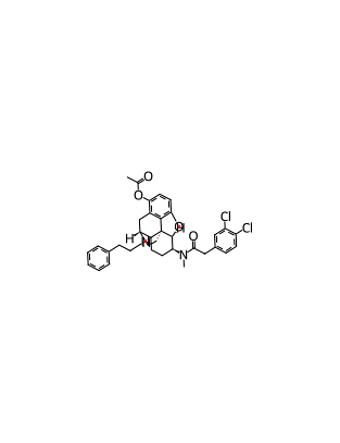 CC(=O)Oc1ccc2c3c1C[C@@H]1[C@@H]4CC[C@H](N(C)C(=O)Cc5ccc(Cl)c(Cl)c5)[C@H](O2)[C@]34CCN1CCc1ccccc1